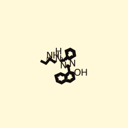 CC[C@H](N)CNc1nc(-c2c(O)ccc3ccccc23)nc2ccccc12